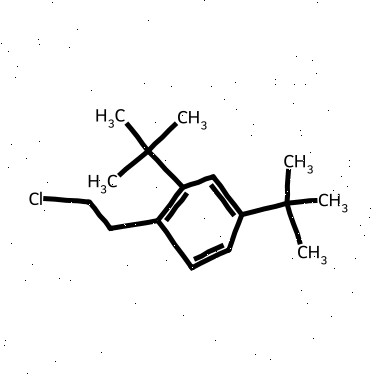 CC(C)(C)c1ccc(CCCl)c(C(C)(C)C)c1